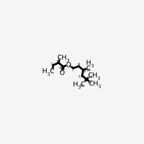 CCC(C)C(=O)OCCC(C)CC(C)(C)C